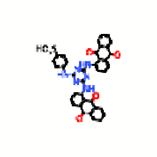 O=C1c2ccccc2C(=O)c2c(Nc3nc(Nc4ccc(S(=O)(=O)O)cc4)nc(Nc4cccc5c4C(=O)c4ccccc4C5=O)n3)cccc21